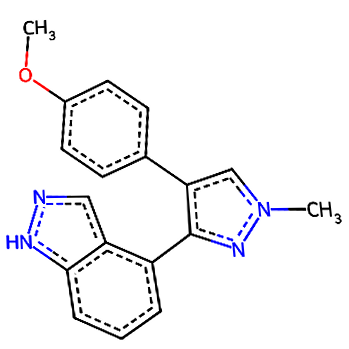 COc1ccc(-c2cn(C)nc2-c2cccc3[nH]ncc23)cc1